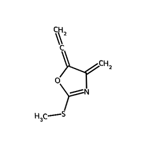 C=C=c1oc(SC)nc1=C